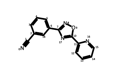 N#Cc1cccc(-c2noc(-c3ccccn3)n2)c1